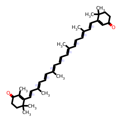 CC1=C(/C=C/C(C)=C/C=C/C(C)=C/C=C/C=C(C)/C=C/C=C(C)/C=C/C2=CC(=O)CCC2(C)C)C(C)(C)CCC1=O